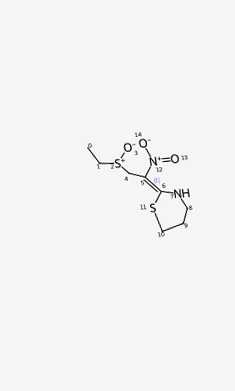 CC[S+]([O-])C/C(=C1/NCCCS1)[N+](=O)[O-]